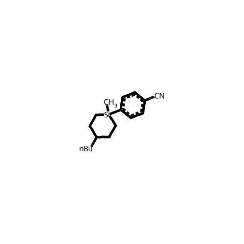 CCCCC1CC[Si](C)(c2ccc(C#N)cc2)CC1